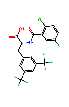 O=C(NC(Cc1cc(C(F)(F)F)cc(C(F)(F)F)c1)C(=O)O)c1cc(Cl)ccc1Cl